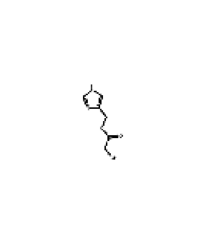 O=C(CO)OCc1c[nH]cn1